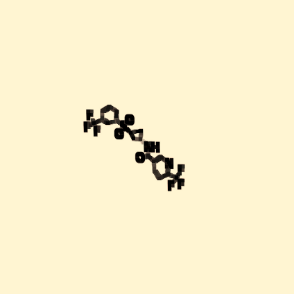 O=C(N[C@H]1C[C@H](S(=O)(=O)c2cccc(C(F)(F)F)c2)C1)c1ccc(C(F)(F)F)nc1